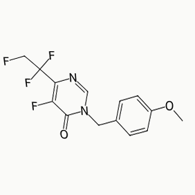 COc1ccc(Cn2cnc(C(F)(F)CF)c(F)c2=O)cc1